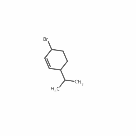 CC(C)C1C=CC(Br)CC1